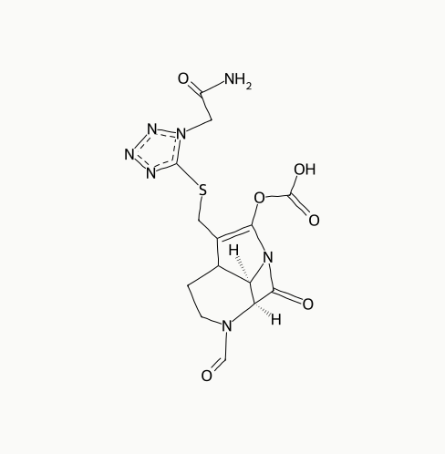 NC(=O)Cn1nnnc1SCC1=C(OC(=O)O)N2C(=O)[C@@H]3[C@H]2C1CCN3C=O